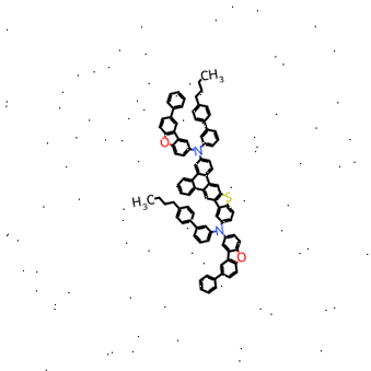 CCCCc1ccc(-c2cccc(N(c3ccc4oc5ccc(-c6ccccc6)cc5c4c3)c3ccc4sc5cc6c7ccc(N(c8cccc(-c9ccc(CCCC)cc9)c8)c8ccc9oc%10ccc(-c%11ccccc%11)cc%10c9c8)cc7c7ccccc7c6cc5c4c3)c2)cc1